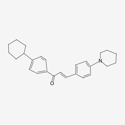 O=C(C=Cc1ccc(N2CCCCC2)cc1)c1ccc(C2CCCCC2)cc1